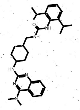 CC(C)c1cccc(C(C)C)c1NC(=O)NCC1CCC(Nc2nc(N(C)C)c3ccccc3n2)CC1